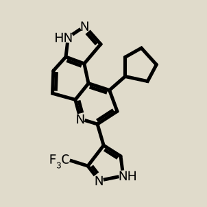 FC(F)(F)c1n[nH]cc1-c1cc(C2CCCC2)c2c(ccc3[nH]ncc32)n1